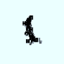 CN(C)c1nc2c(s1)CNC(C(=O)N1CCN(S(=O)(=O)c3cc4cc(Cl)ccc4[nH]3)CC1)C2